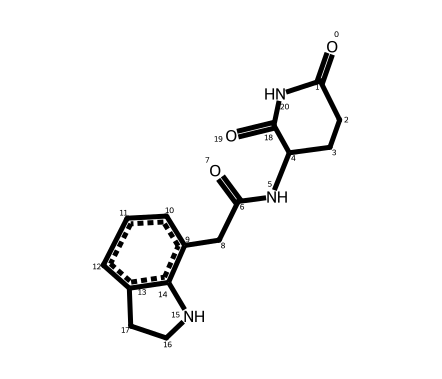 O=C1CCC(NC(=O)Cc2cccc3c2NCC3)C(=O)N1